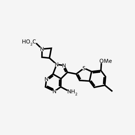 COc1cc(C)cc2cc(-c3nn(C4CN(C(=O)O)C4)c4ncnc(N)c34)sc12